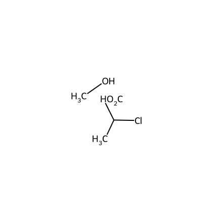 CC(Cl)C(=O)O.CO